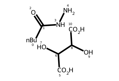 CCCCC(=O)NN.O=C(O)C(O)C(O)C(=O)O